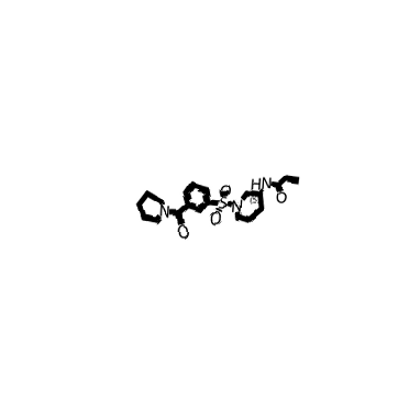 C=CC(=O)N[C@H]1CCCN(S(=O)(=O)c2cccc(C(=O)N3CCCCC3)c2)C1